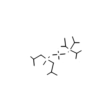 CC(C)C[Si](Cl)(CC(C)C)O[Si](C)(C)O[Si](C(C)C)(C(C)C)C(C)C